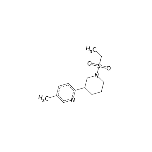 CCS(=O)(=O)N1CCCC(c2ccc(C)cn2)C1